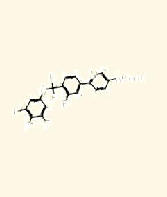 CCCCCc1ccc(-c2ccc(C(F)(F)Oc3cc(F)c(F)c(F)c3)c(F)c2)nc1